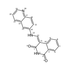 O=C1NC(=O)c2ccccc2/C1=C/Nc1ccc2ncccc2c1